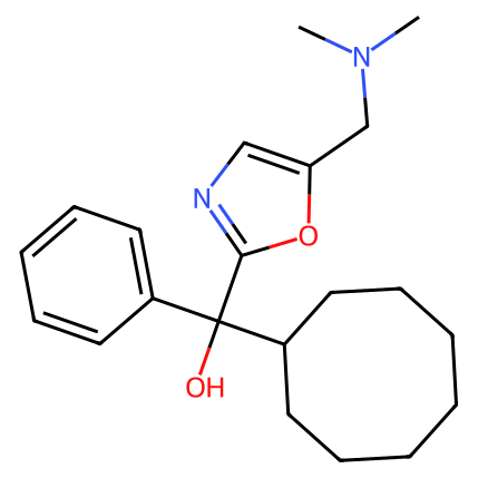 CN(C)Cc1cnc(C(O)(c2ccccc2)C2CCCCCCC2)o1